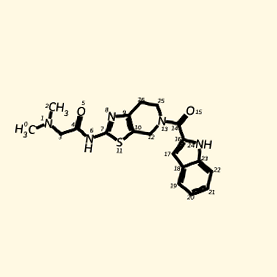 CN(C)CC(=O)Nc1nc2c(s1)CN(C(=O)c1cc3ccccc3[nH]1)CC2